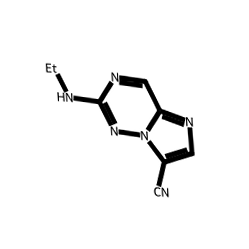 CCNc1ncc2ncc(C#N)n2n1